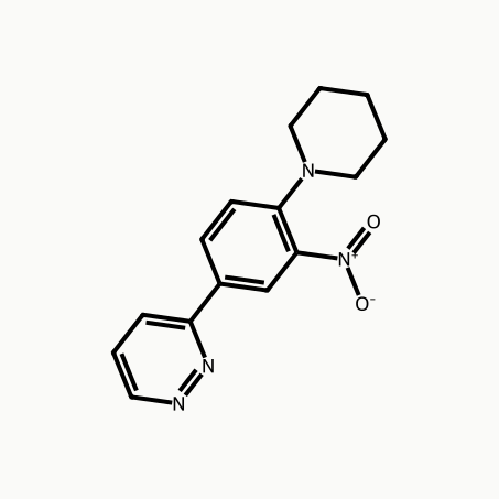 O=[N+]([O-])c1cc(-c2cccnn2)ccc1N1CCCCC1